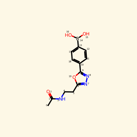 CC(=O)NCCc1nnc(-c2ccc(B(O)O)cc2)o1